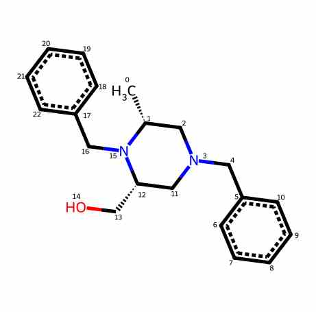 C[C@@H]1CN(Cc2ccccc2)C[C@H](CO)N1Cc1ccccc1